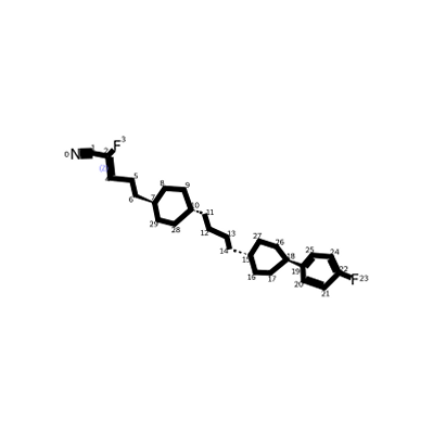 N#C/C(F)=C/CC[C@H]1CC[C@H](CCCC[C@H]2CC[C@H](c3ccc(F)cc3)CC2)CC1